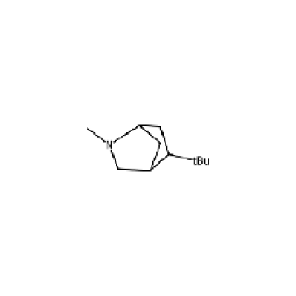 CN1CC2CC1CC2C(C)(C)C